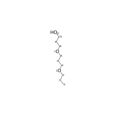 CCCOCCCOCC[CH]O